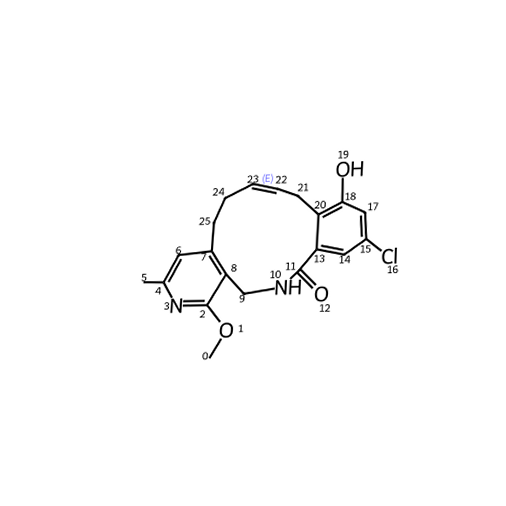 COc1nc(C)cc2c1CNC(=O)c1cc(Cl)cc(O)c1C/C=C/CC2